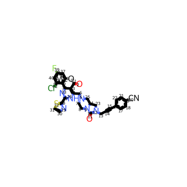 COC(=O)C1=C(CN2CCN3C(=O)N(CC#Cc4ccc(C#N)cc4)CC3C2)NC(c2nccs2)=NC1c1ccc(F)cc1Cl